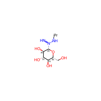 CC(C)N[N+](=N)[C@@H]1O[C@H](CO)[C@@H](O)[C@H](O)[C@H]1O